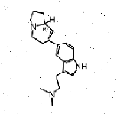 CN(C)CCc1c[nH]c2ccc(C3=C[C@H]4CCCN4CC3)cc12